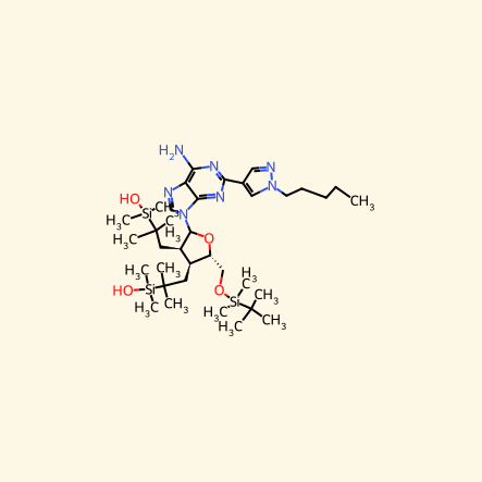 CCCCCn1cc(-c2nc(N)c3ncn(C4O[C@H](CO[Si](C)(C)C(C)(C)C)[C@@H](CC(C)(C)[Si](C)(C)O)[C@H]4CC(C)(C)[Si](C)(C)O)c3n2)cn1